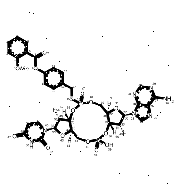 COc1ccccc1C(=O)Oc1ccc(CSP2(=O)OC[C@H]3O[C@@H](n4cnc5c(N)ncnc54)[C@H](F)[C@@H]3OP(=O)(O)OC[C@H]3O[C@@H](n4ccc(=O)[nH]c4=O)[C@H](F)[C@@H]3O2)cc1